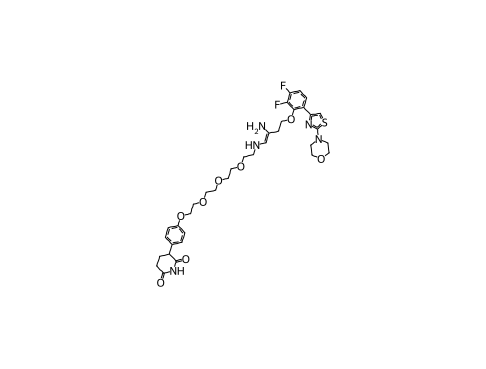 N/C(=C\NCCOCCOCCOCCOc1ccc(C2CCC(=O)NC2=O)cc1)CCOc1c(-c2csc(N3CCOCC3)n2)ccc(F)c1F